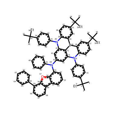 CCC(C)(C)c1ccc(N2c3ccc(C(C)(C)CC)cc3B3c4cc(C(C)(C)CC)ccc4N(c4ccc(C(C)(C)CC)cc4)c4cc(N(c5ccccc5)c5cccc6c5oc5c(-c7ccccc7)cccc56)cc2c43)cc1